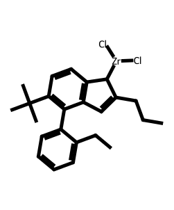 CCCC1=Cc2c(ccc(C(C)(C)C)c2-c2ccccc2CC)[CH]1[Zr]([Cl])[Cl]